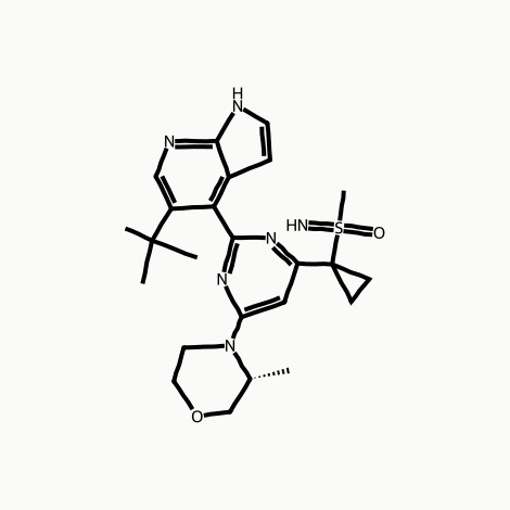 C[C@@H]1COCCN1c1cc(C2(S(C)(=N)=O)CC2)nc(-c2c(C(C)(C)C)cnc3[nH]ccc23)n1